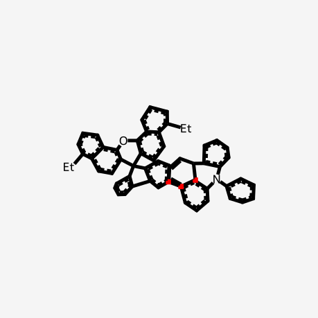 CCc1cccc2c3c(ccc12)C1(c2ccccc2-c2cc(-c4cccc(N(c5ccccc5)c5ccccc5C5C=CC=CC5)c4)ccc21)c1ccc2c(CC)cccc2c1O3